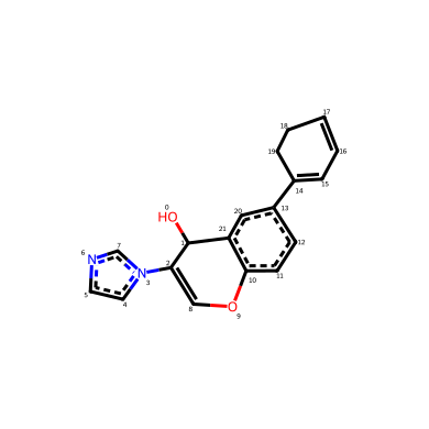 OC1C(n2ccnc2)=COc2ccc(C3=CC=CCC3)cc21